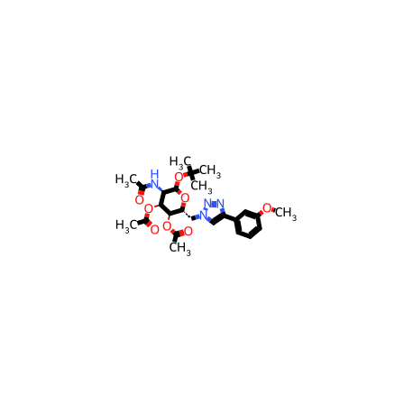 COc1cccc(-c2cn(C[C@H]3OC(OC(C)(C)C)[C@H](NC(C)=O)[C@@H](OC(C)=O)[C@H]3OC(C)=O)nn2)c1